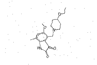 CCOC1CCN(Cc2c(OC)cc(C)c3c2C(=O)C(=O)N3)CC1